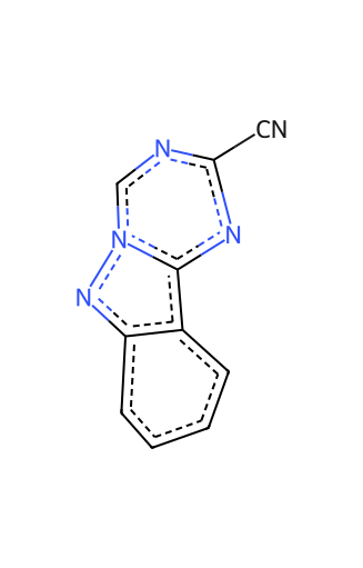 N#Cc1ncn2nc3ccccc3c2n1